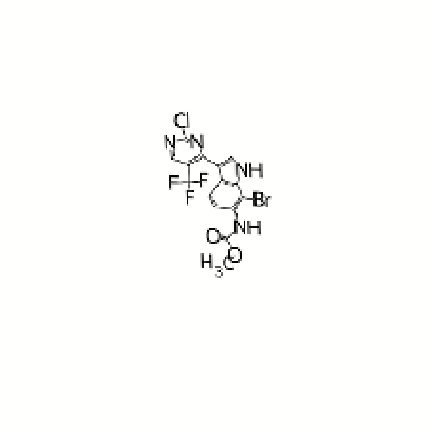 COC(=O)Nc1ccc2c(-c3nc(Cl)ncc3C(F)(F)F)c[nH]c2c1Br